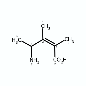 CC(C(=O)O)=C(C)C(C)N